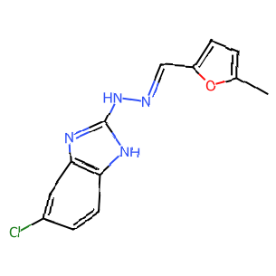 Cc1ccc(/C=N/Nc2nc3cc(Cl)ccc3[nH]2)o1